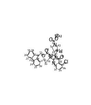 CC(C)(C)OC(=O)N1CC2C(n3c([C@@H](NC(=O)OCC4c5ccccc5-c5ccccc54)C4CC4)nc4cccc(Cl)c4c3=O)[C@@H]2C1